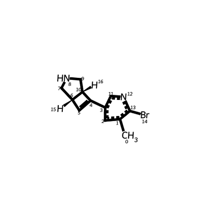 Cc1cc(C2=C[C@@H]3CNC[C@H]23)cnc1Br